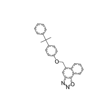 CC(C)(c1ccccc1)c1ccc(OCc2cc3nnoc3c3ccccc23)cc1